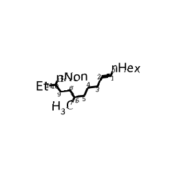 [CH2]CCCCCC=CCCCC(C)CCC(CC)CCCCCCCC[CH2]